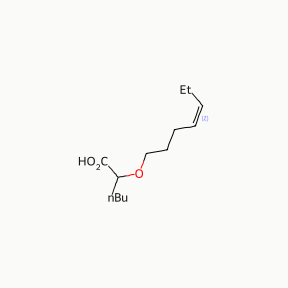 CC/C=C\CCCOC(CCCC)C(=O)O